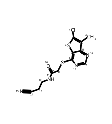 Cc1c(Cl)sc2c(SCC(=O)NCCC#N)ncnc12